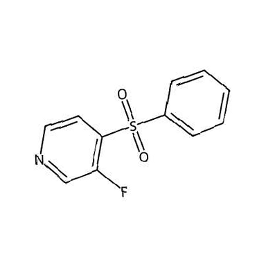 O=S(=O)(c1ccccc1)c1ccncc1F